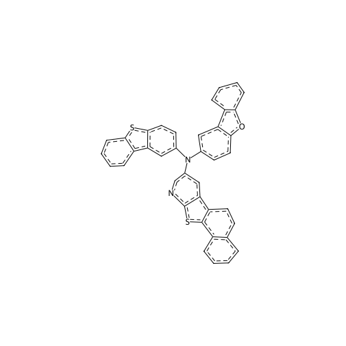 c1ccc2c(c1)ccc1c3cc(N(c4ccc5oc6ccccc6c5c4)c4ccc5sc6ccccc6c5c4)cnc3sc21